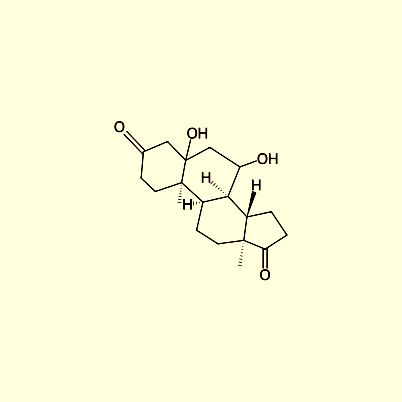 C[C@]12CC[C@@H]3[C@@H](C(O)CC4(O)CC(=O)CC[C@]34C)[C@@H]1CCC2=O